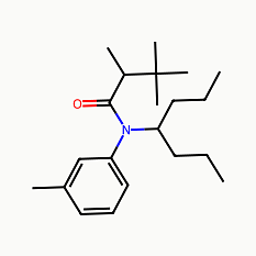 CCCC(CCC)N(C(=O)C(C)C(C)(C)C)c1cccc(C)c1